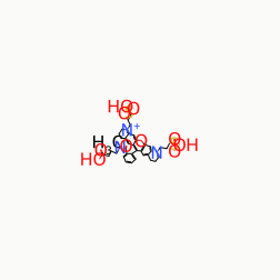 CN(CCCC(=O)O)C(=O)c1ccccc1C1=c2cc3c(cc2Oc2cc4c(cc21)CCCN4CCCS(=O)(=O)O)=[N+](CCCS(=O)(=O)O)CCC3